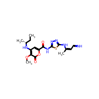 CC[C@@H](C)Nc1cc(C(=O)Nc2nnc(N/C(C)=C\C=N)s2)oc(=O)c1OC